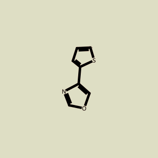 [c]1ccc(-c2cocn2)s1